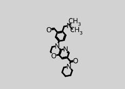 CN(C)Cc1ccc(N2CCOc3cc(C(=O)N4CCCCC4)cnc32)cc1C=O